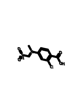 CN(C[SH](=O)=O)c1ccc(C(=O)O)c(Cl)c1